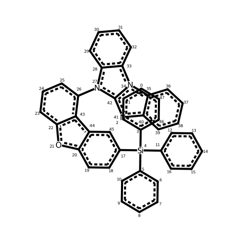 c1ccc([Si](c2ccccc2)(c2ccccc2)c2ccc3oc4cccc(-n5c6ccccc6n6c7ccccc7nc56)c4c3c2)cc1